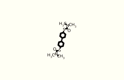 CN(C)C(=O)Sc1ccc(-c2ccc(SC(=O)N(C)C)cc2)cc1